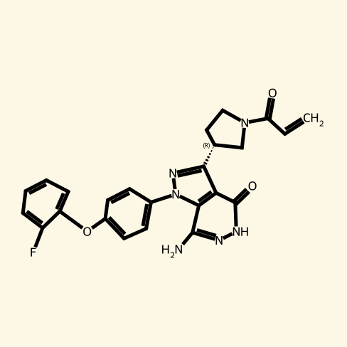 C=CC(=O)N1CC[C@@H](c2nn(-c3ccc(Oc4ccccc4F)cc3)c3c(N)n[nH]c(=O)c23)C1